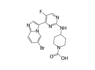 O=C(O)N1CCC(Nc2ncc(F)c(-c3cnc4ccc(Br)cn34)n2)CC1